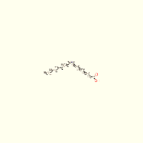 [13CH3][13CH2][13CH2][13CH2][13CH2][13CH2][13CH2][13CH2]/[13CH]=[13CH]\[13CH2][13CH2][13CH2][13CH2][13CH2][13CH2][13CH2][13C](=O)O